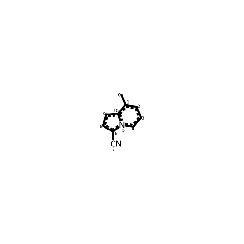 Cc1cccn2c(C#N)ccc12